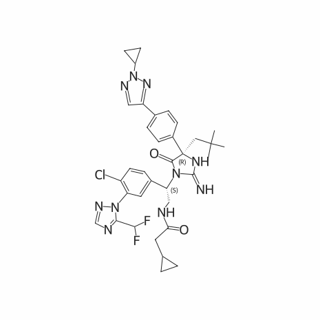 CC(C)(C)C[C@]1(c2ccc(-c3cnn(C4CC4)n3)cc2)NC(=N)N([C@H](CNC(=O)CC2CC2)c2ccc(Cl)c(-n3ncnc3C(F)F)c2)C1=O